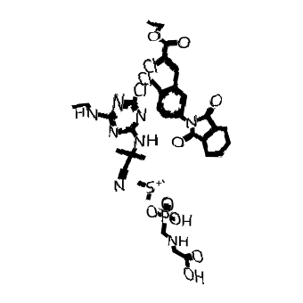 CCNc1nc(Cl)nc(NC(C)(C)C#N)n1.CCOC(=O)/C(Cl)=C/c1cc(N2C(=O)C3=C(CCCC3)C2=O)ccc1Cl.C[S+](C)C.O=C(O)CNCP(=O)([O-])O